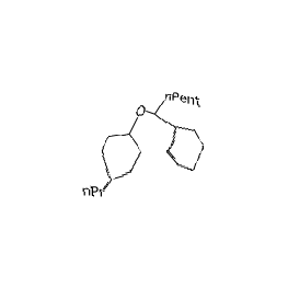 CCCCCC(OC1CCC(CCC)CC1)C1CCCCC1